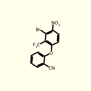 N#Cc1ccccc1Oc1ccc([N+](=O)[O-])c(Br)c1C(F)(F)F